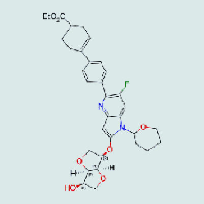 CCOC(=O)C1CC=C(c2ccc(-c3nc4cc(O[C@@H]5CO[C@H]6[C@@H]5OC[C@H]6O)n(C5CCCCO5)c4cc3F)cc2)CC1